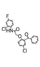 O=C(COc1ccc(Cl)cc1C(=O)c1ccccc1)Nc1ccc(F)cc1Cl